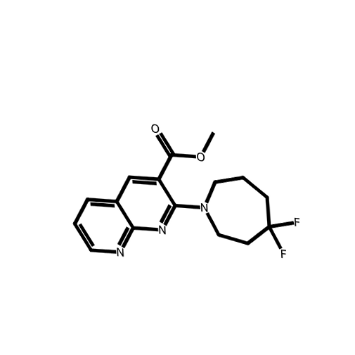 COC(=O)c1cc2cccnc2nc1N1CCCC(F)(F)CC1